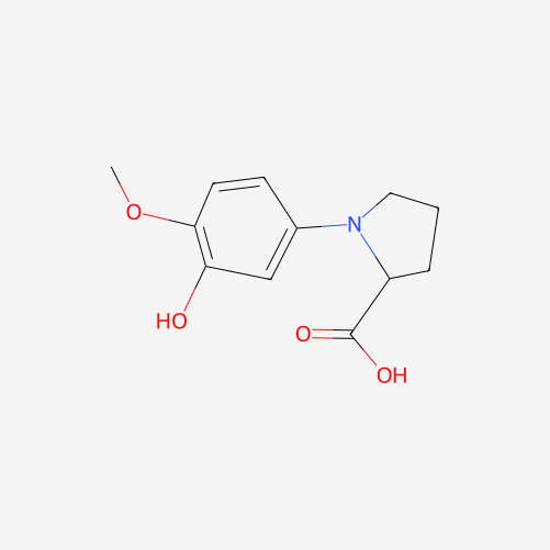 COc1ccc(N2CCCC2C(=O)O)cc1O